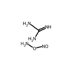 N=C(N)N.NON=O